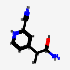 CC(C(N)=O)c1ccnc(C#N)c1